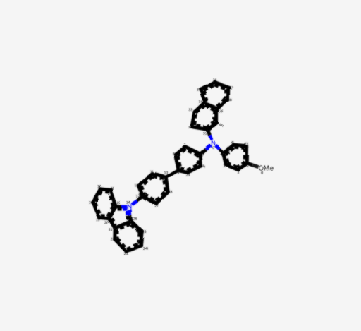 COc1ccc(N(c2ccc(-c3ccc(-n4c5ccccc5c5ccccc54)cc3)cc2)c2ccc3ccccc3c2)cc1